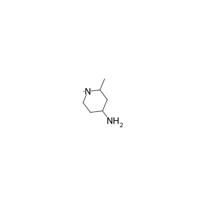 CC1CC(N)CC[N]1